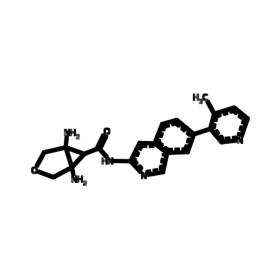 Cc1ccncc1-c1ccc2cc(NC(=O)C3C4(N)COCC34N)ncc2c1